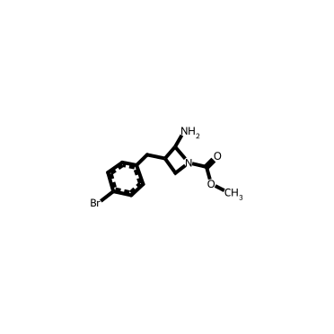 COC(=O)N1CC(Cc2ccc(Br)cc2)C1N